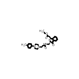 CCOC(=O)Cc1nn(CNC(=O)CCN2CCN(c3ccc(C)cc3)CC2)c(=O)c2ccccc12